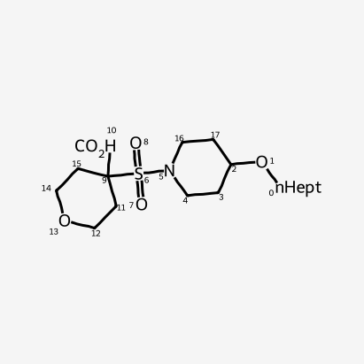 CCCCCCCOC1CCN(S(=O)(=O)C2(C(=O)O)CCOCC2)CC1